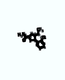 CCc1ccccc1C1CN(C(N)=O)CC1CC(F)(F)F